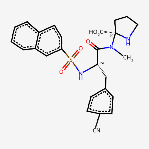 CN(C(=O)[C@H](Cc1ccc(C#N)cc1)NS(=O)(=O)c1ccc2ccccc2c1)[C@@]1(C(=O)O)CCCN1